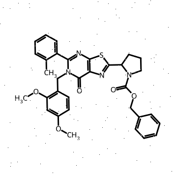 COc1ccc(Cn2c(-c3ccccc3C)nc3sc(C4CCCN4C(=O)OCc4ccccc4)nc3c2=O)c(OC)c1